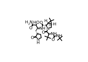 CC(C)(C)NC(=O)N[C@H](C(=O)N1C[C@H]2[C@@H]([C@H]1C(=O)N[C@@H](C[C@@H]1CCNC1=O)C(O)C(N)=O)C2(C)C)C(C)(C)C